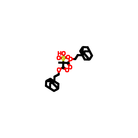 CC(C(=O)OCCC12CC3CC(CC(C3)C1)C2)(C(=O)OCCC12CC3CC(CC(C3)C1)C2)S(=O)(=O)O